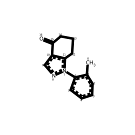 Cc1ccccc1-n1ncc2c1CCCC2=O